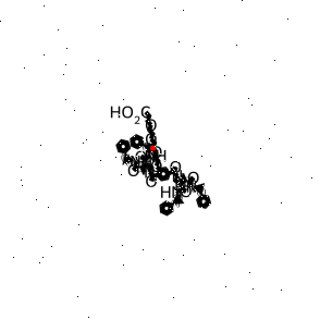 O=C(O)CCOCCOCCOCCOc1cc(C(=O)N2C[C@@H](C(=O)N[C@H]3C[C@@H]3c3ccccc3)[C@H](C(=O)N[C@H]3C[C@@H]3c3ccccc3)C2)ccc1C(=O)N1C[C@@H](C(=O)N[C@H]2C[C@@H]2c2ccccc2)[C@H](C(=O)N[C@H]2C[C@@H]2c2ccccc2)C1